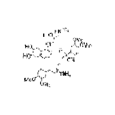 CC(C)(C)NCC(O)COc1cccc2c1C[C@H](O)[C@H](O)C2.COc1ccc(CCN(C)CCCC(C#N)(c2ccc(OC)c(OC)c2)C(C)C)cc1OC.Cl